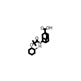 C[C@H]1CCCC[C@@H]1OC(C)(C)C(=O)NC1C2CC3CC1CC(C(=O)O)(C3)C2